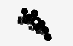 C=C1C[N+](C)=C(/C=C/C)c2c(ccc3c2oc2nc(-c4ccccc4)ccc23)CCC2c3ccccc3-c3cc(CC4CCCC4)c([Si](C)(C)C)c[n+]3C12